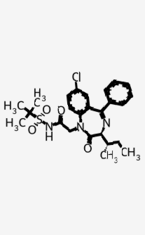 CC[C@H](C)[C@@H]1N=C(c2ccccc2)c2cc(Cl)ccc2N(CC(=O)NS(=O)(=O)C(C)(C)C)C1=O